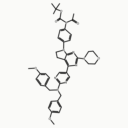 COc1ccc(CN(Cc2ccc(OC)cc2)c2ncc(-c3nc(N4CCOCC4)nc4c3CCN4c3ccc(N(C(C)=O)C(=O)OC(C)(C)C)cc3)cn2)cc1